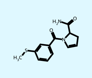 CSc1cccc(C(=O)N2C=CCC2C(N)=O)c1